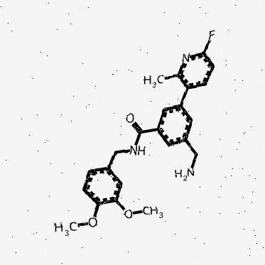 COc1ccc(CNC(=O)c2cc(CN)cc(-c3ccc(F)nc3C)c2)cc1OC